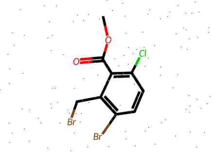 COC(=O)c1c(Cl)ccc(Br)c1CBr